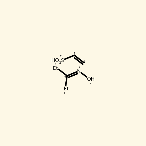 C=CS(=O)(=O)O.CCC(CC)=NO